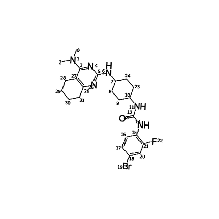 CN(C)c1nc(NC2CCC(NC(=O)Nc3ccc(Br)cc3F)CC2)nc2c1CCCC2